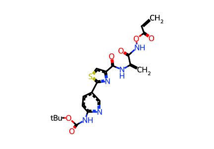 C=CC(=O)ONC(=O)C(=C)NC(=O)c1csc(-c2ccc(NC(=O)OC(C)(C)C)nc2)n1